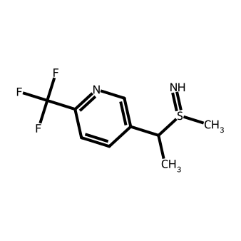 CC(c1ccc(C(F)(F)F)nc1)S(C)=N